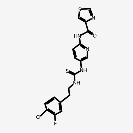 O=C(Nc1ccc(NC(=S)NCCc2ccc(Cl)c(F)c2)cn1)c1cscn1